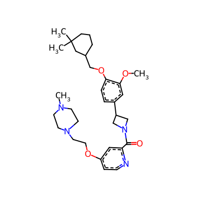 COc1cc(C2CN(C(=O)c3cc(OCCN4CCN(C)CC4)ccn3)C2)ccc1OCC1CCCC(C)(C)C1